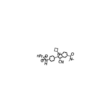 CCCS(=O)(=O)Nc1ccc(-c2c(C#N)c3cc(C(=O)N(C)C)ccc3n2C2CCC2)cc1